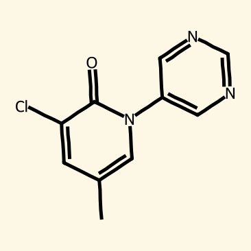 Cc1cc(Cl)c(=O)n(-c2cncnc2)c1